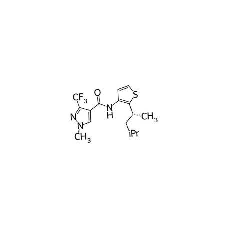 CC(C)C[C@@H](C)c1sccc1NC(=O)c1cn(C)nc1C(F)(F)F